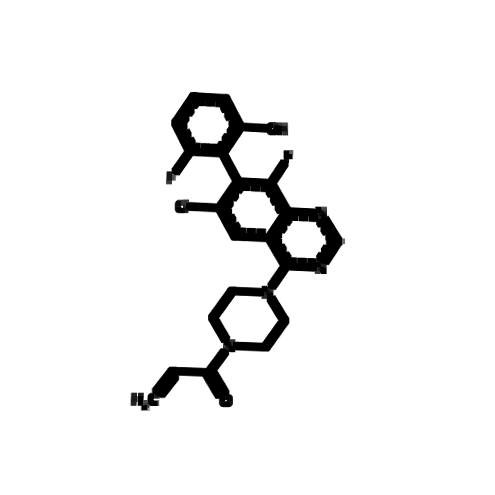 C=CC(=O)N1CCN(c2n[c]nc3c(F)c(-c4c(O)cccc4F)c(Cl)cc23)CC1